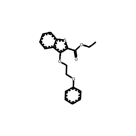 CCOC(=O)c1sc2ccccc2c1OCCOc1ccccc1